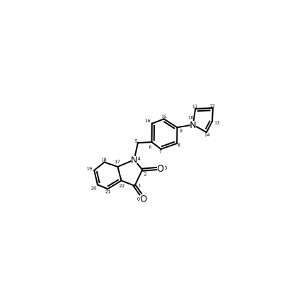 O=C1C(=O)N(Cc2ccc(-n3cccc3)cc2)C2CC=CC=C12